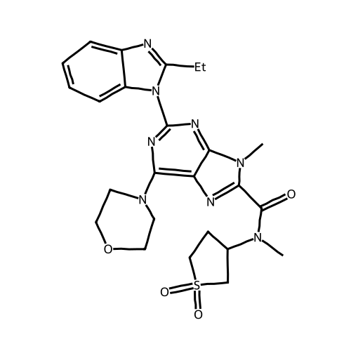 CCc1nc2ccccc2n1-c1nc(N2CCOCC2)c2nc(C(=O)N(C)C3CCS(=O)(=O)C3)n(C)c2n1